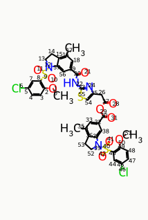 COc1ccc(Cl)cc1S(=O)(=O)N1CCc2c(C)cc(C(=O)Nc3nc(CC(=O)OC(=O)c4cc(C)c5c(c4)N(S(=O)(=O)c4cc(Cl)ccc4OC)CC5)cs3)cc21